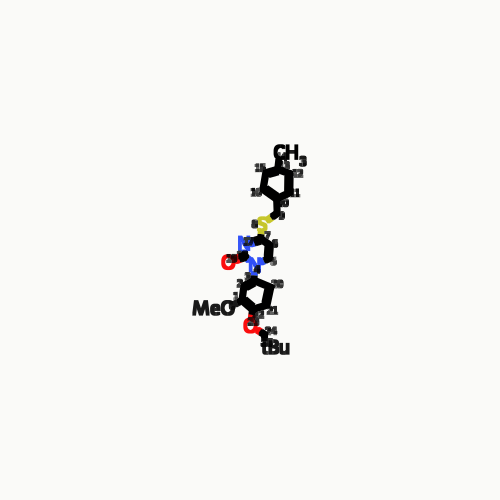 COc1cc(-n2ccc(SCc3ccc(C)cc3)nc2=O)ccc1OCC(C)(C)C